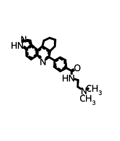 CN(C)CCNC(=O)c1ccc(-c2nc3ccc4[nH]ncc4c3c3c2CCCC3)cc1